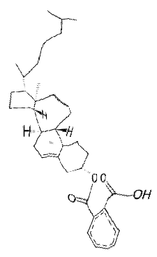 CC(C)CCCC(C)[C@H]1CC[C@H]2[C@@H]3CC=C4C[C@@H](OC(=O)c5ccccc5C(=O)O)CC[C@]4(C)[C@H]3CC[C@]12C